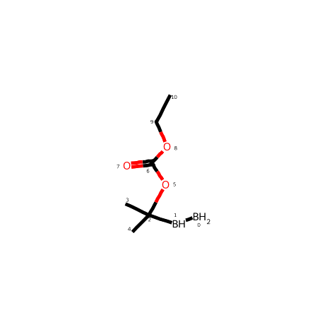 BBC(C)(C)OC(=O)OCC